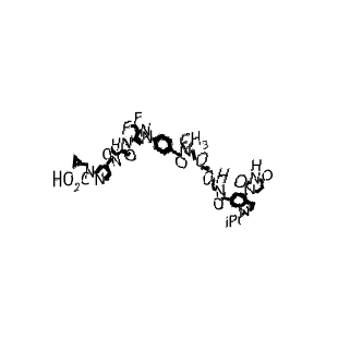 CC(C)n1ccc2c(N3CCC(=O)NC3=O)cc(C(=O)NCCOCCOCCN(C)C(=O)c3ccc(-n4cc(NC(=O)c5coc(-c6ccnc(N(CC7CC7)C(=O)O)c6)n5)c(C(F)F)n4)cc3)cc21